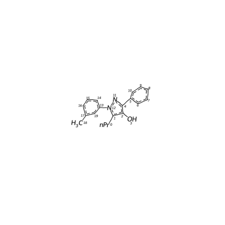 CCCc1c(O)c(-c2ccccc2)nn1-c1cccc(C)c1